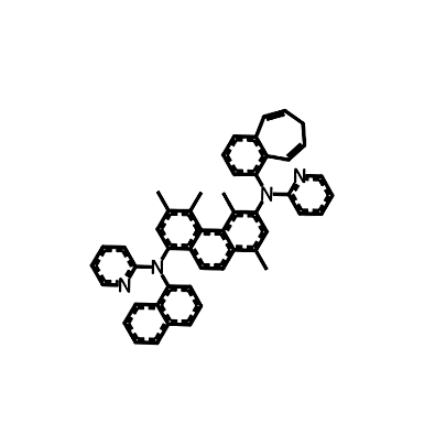 Cc1cc(N(c2ccccn2)c2cccc3ccccc23)c2ccc3c(C)cc(N(c4ccccn4)c4cccc5c4C=CCC=C5)c(C)c3c2c1C